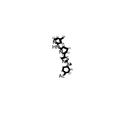 CC(=O)C1CCC(N(C)c2ncc(-c3cccc(Nc4cc(C)ccn4)n3)s2)CC1